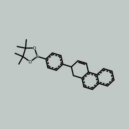 CC1(C)OB(c2ccc(C3C=Cc4c(ccc5ccccc45)C3)cc2)OC1(C)C